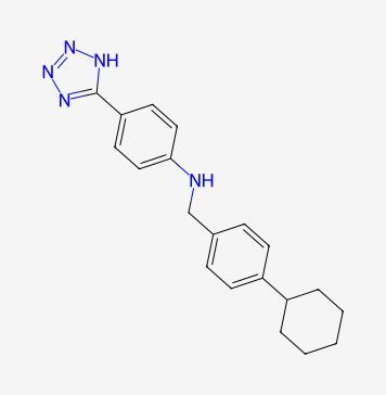 c1cc(C2CCCCC2)ccc1CNc1ccc(-c2nnn[nH]2)cc1